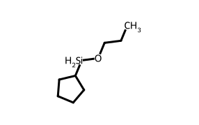 CCCO[SiH2]C1CCCC1